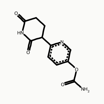 NC(=O)Oc1ccc(C2CCC(=O)NC2=O)nc1